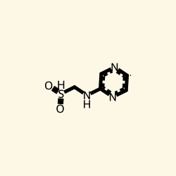 O=[SH](=O)CNc1cn[c]cn1